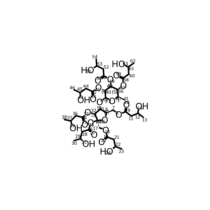 [CH2][C@H]1O[C@@H](O[C@@H]2[C@@H](COC(=O)CC(C)O)O[C@@](COC(=O)CC(C)O)(OC(=O)CC(C)O)[C@H]2OC(=O)CC(C)O)[C@H](OC(=O)CC(C)O)[C@@H](OC(=O)CC(C)O)[C@H]1OC(=O)CC(C)O